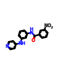 O=C(Nc1cccc(Nc2ccncc2)c1)c1cccc([N+](=O)[O-])c1